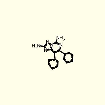 Nc1nc2c(-c3ccccc3)c(-c3ccccc3)nc(N)n2n1